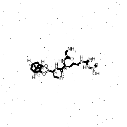 CC(C)C[C@H](NC(=O)[C@H](CCCNC(=N)N[N+](=O)O)NC(=O)CN)B1O[C@@H]2C[C@@H]3C[C@@H](C3(C)C)[C@]2(C)O1